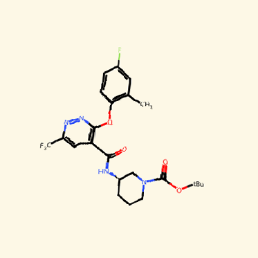 Cc1cc(F)ccc1Oc1nnc(C(F)(F)F)cc1C(=O)N[C@@H]1CCCN(C(=O)OC(C)(C)C)C1